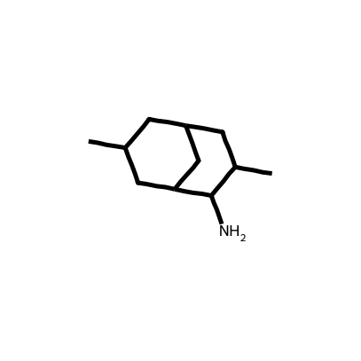 CC1CC2CC(C)C(N)C(C1)C2